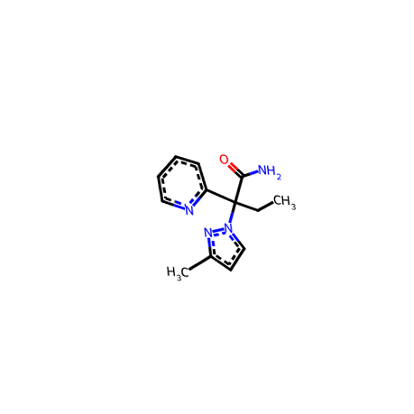 CCC(C(N)=O)(c1ccccn1)n1ccc(C)n1